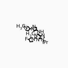 Cc1c(Nc2nc(N3CCC(F)C3)nc3c2ncn3C(C)C)cnn1C1CCN(C)C1